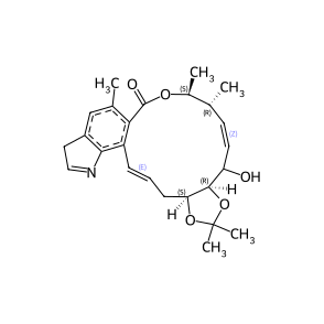 Cc1cc2c(c3c1C(=O)O[C@@H](C)[C@H](C)/C=C\C(O)[C@H]1OC(C)(C)O[C@H]1C/C=C/3)N=CC2